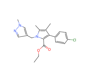 CCOC(=O)c1c(-c2ccc(Cl)cc2)c(C)c(C)n1Cc1cnn(C)c1